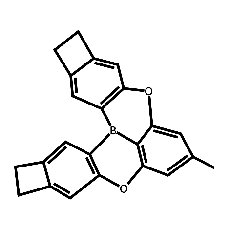 Cc1cc2c3c(c1)Oc1cc4c(cc1B3c1cc3c(cc1O2)CC3)CC4